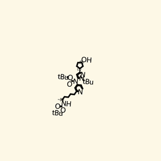 C[C@H](CCCCc1cc(N(C(=O)OC(C)(C)C)c2cc([C@H]3CC[C@@H](O)C3)nn2C(C)(C)C)ccn1)NC(=O)OC(C)(C)C